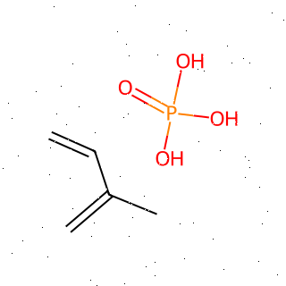 C=CC(=C)C.O=P(O)(O)O